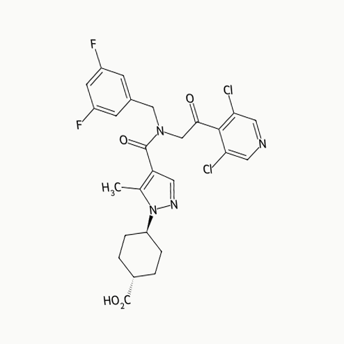 Cc1c(C(=O)N(CC(=O)c2c(Cl)cncc2Cl)Cc2cc(F)cc(F)c2)cnn1[C@H]1CC[C@H](C(=O)O)CC1